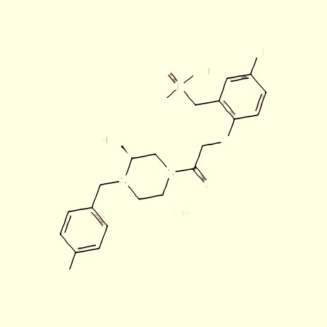 C[C@@H]1CN(Cc2ccc(F)cc2)[C@@H](C)CN1C(=O)COc1ccc(Cl)cc1CP(=O)(O)O